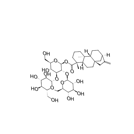 C=C1C[C@@]23CC[C@H]4[C@@](C)(CCC[C@@]4(C)C(=O)O[C@@H]4O[C@H](CO)[C@@H](O)[C@H](O[C@@H]5O[C@H](CO)[C@@H](O)[C@H](O)[C@H]5O)[C@H]4O[C@@H]4O[C@H](CC)[C@@H](O)[C@H](O)[C@H]4O)[C@@H]2CC[C@@H]1C3